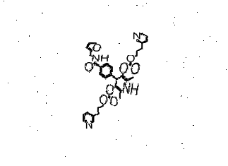 CC1=C(OC(=O)OCCCc2cccnc2)C(c2ccc(C(=O)NCc3ccco3)cc2)C(OC(=O)OCCCc2cccnc2)=C(C)N1